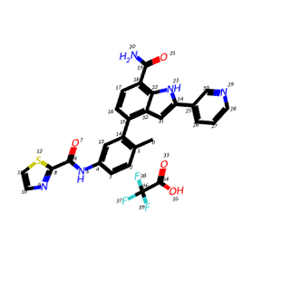 Cc1ccc(NC(=O)c2nccs2)cc1-c1ccc(C(N)=O)c2[nH]c(-c3cccnc3)cc12.O=C(O)C(F)(F)F